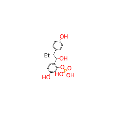 CCC(c1ccc(O)cc1)C(O)c1ccc(O)cc1OP(=O)(O)O